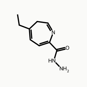 CCC1=CC=C(C(=O)NN)N=CC1